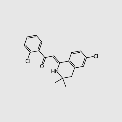 CC1(C)Cc2cc(Cl)ccc2C(=CC(=O)c2ccccc2Cl)N1